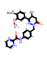 CCC1CC(=O)N(Cc2ccc(NC(=O)c3ncccn3)cc2)N=C1c1ccc(OC)c(OC(F)(F)F)c1